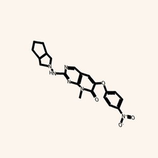 Cn1c(=O)c(Oc2ccc([N+](=O)[O-])cc2)cc2cnc(NN3CC4CCCC4C3)nc21